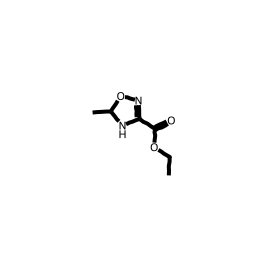 CCOC(=O)C1=NOC(C)N1